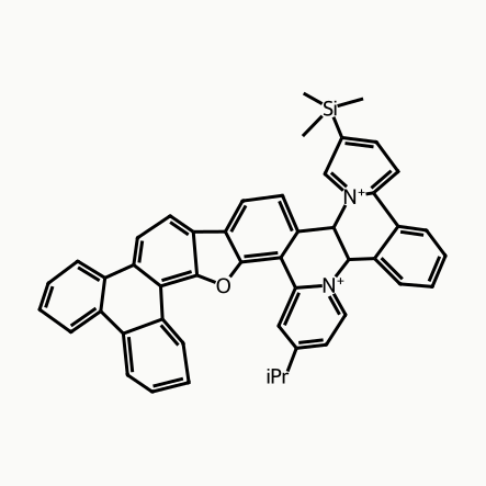 CC(C)c1cc[n+]2c(c1)-c1c(ccc3c1oc1c3ccc3c4ccccc4c4ccccc4c31)C1C2c2ccccc2-c2ccc([Si](C)(C)C)c[n+]21